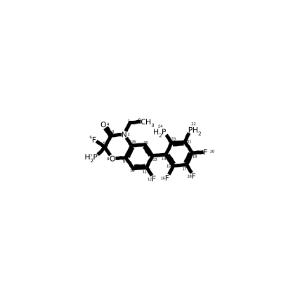 CCN1C(=O)C(F)(P)Oc2cc(F)c(-c3c(F)c(F)c(F)c(P)c3P)cc21